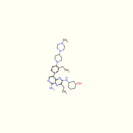 CCc1cc(-c2cnc(N)c3nc(CC)c(NC4CCCC(O)C4)nc23)ccc1N1CCC(N2CCN(C)CC2)CC1